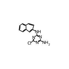 Nc1nc(Cl)nc(Nc2ccc3ccccc3c2)n1